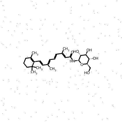 CC(C=CC1=C(C)CCCC1(C)C)=CC=CC(C)=CC(=O)N[C@@H]1O[C@H](CO)[C@@H](O)[C@H](O)[C@H]1O